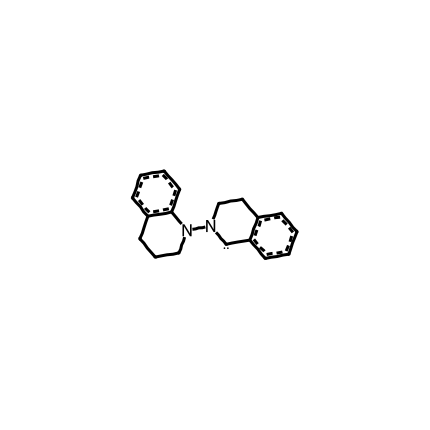 [C]1c2ccccc2CCN1N1CCCc2ccccc21